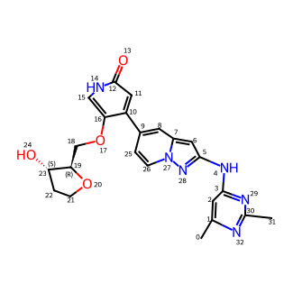 Cc1cc(Nc2cc3cc(-c4cc(=O)[nH]cc4OC[C@H]4OCC[C@@H]4O)ccn3n2)nc(C)n1